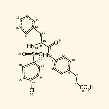 O=C(O)CCc1ccc(NC(=O)[C@H](Cc2ccccc2)NS(=O)(=O)c2ccc(Cl)cc2)cc1